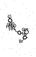 CN1CCc2c(n(-c3ccc(CCNC(=O)NS(=O)(=O)c4ccc(Cl)cc4)cc3)c3cc(Br)ccc23)C1=O